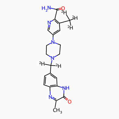 [2H]C([2H])([2H])c1cc(N2CCN(C([2H])([2H])c3ccc4nc(C)c(=O)[nH]c4c3)CC2)cnc1C(N)=O